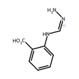 N/N=C\Nc1ccccc1C(=O)O